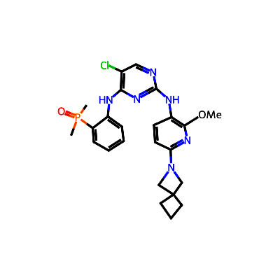 COc1nc(N2CC3(CCC3)C2)ccc1Nc1ncc(Cl)c(Nc2ccccc2P(C)(C)=O)n1